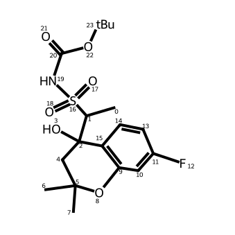 CC(C1(O)CC(C)(C)Oc2cc(F)ccc21)S(=O)(=O)NC(=O)OC(C)(C)C